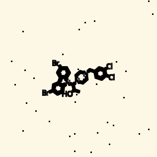 CC(O)C(N1CCN(Cc2ccc(Cl)c(Cl)c2)CC1)n1c2ccc(Br)cc2c2cc(Br)ccc21